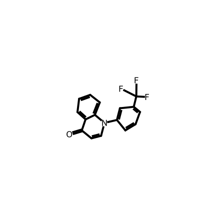 O=c1ccn(-c2cccc(C(F)(F)F)c2)c2ccccc12